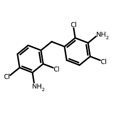 Nc1c(Cl)ccc(Cc2ccc(Cl)c(N)c2Cl)c1Cl